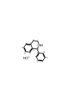 Cl.c1ccc(C2NCCc3ccccc32)cc1